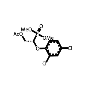 COP(=O)(OC)[C@@H](COC(C)=O)Oc1ccc(Cl)cc1Cl